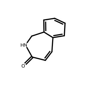 O=C1C=Cc2ccccc2CN1